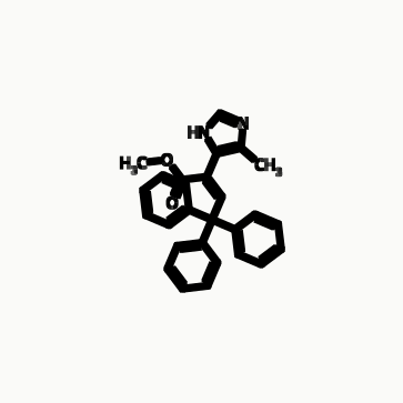 COC(=O)C(=CC(c1ccccc1)(c1ccccc1)c1ccccc1)c1[nH]cnc1C